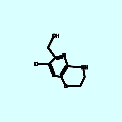 OCc1nc2c(cc1Cl)OCCN2